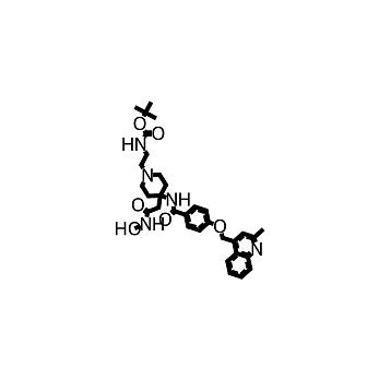 Cc1cc(COc2ccc(C(=O)NC3(CC(=O)NO)CCN(CCNC(=O)OC(C)(C)C)CC3)cc2)c2ccccc2n1